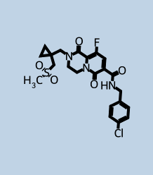 CS(=O)(=O)CC1(CN2CCn3c(c(F)cc(C(=O)NCc4ccc(Cl)cc4)c3=O)C2=O)CC1